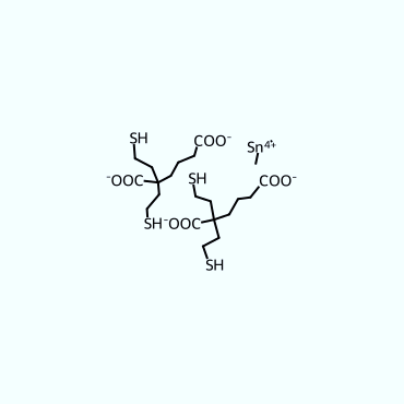 O=C([O-])CCCC(CCS)(CCS)C(=O)[O-].O=C([O-])CCCC(CCS)(CCS)C(=O)[O-].[CH3][Sn+4][CH3]